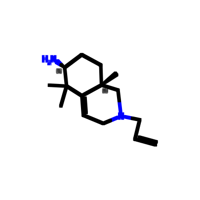 C=CCN1CC=C2C(C)(C)[C@@H](N)CC[C@]2(C)C1